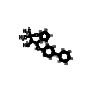 CC(C)(C)C(O)C(Oc1ccc(-c2ccccc2)cc1)n1cccc1